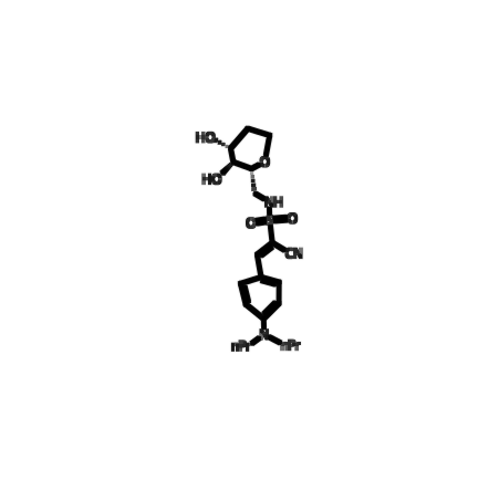 CCCN(CCC)c1ccc(/C=C(\C#N)S(=O)(=O)NC[C@H]2OCC[C@@H](O)[C@@H]2O)cc1